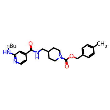 CCCCNc1cc(C(=O)NCC2CCN(C(=O)OCc3ccc(C)cc3)CC2)ccn1